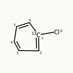 Cl[13c]1ccccc1